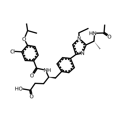 CCn1cc(-c2ccc(C[C@@H](CCC(=O)O)NC(=O)c3ccc(OC(C)C)c(Cl)c3)cc2)nc1[C@@H](C)NC(C)=O